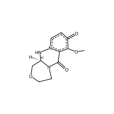 COc1c2n(ccc1=O)N[C@@H]1COCCN1C2=O